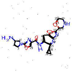 NC1CCN(c2nc(C(=O)Nc3cc4oc(C5CNCCO5)nc4nc3C3CC3)co2)C1